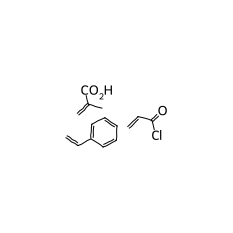 C=C(C)C(=O)O.C=CC(=O)Cl.C=Cc1ccccc1